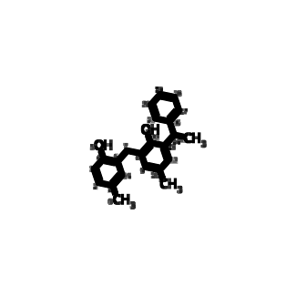 Cc1ccc(O)c(Cc2cc(C)cc(C(C)c3ccccc3)c2O)c1